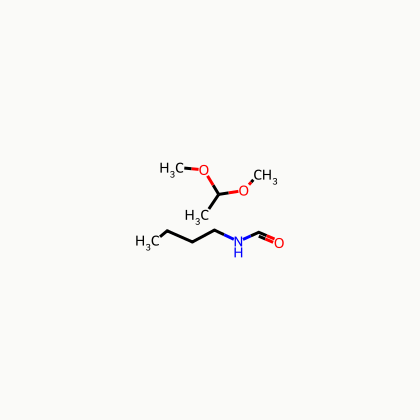 CCCCNC=O.COC(C)OC